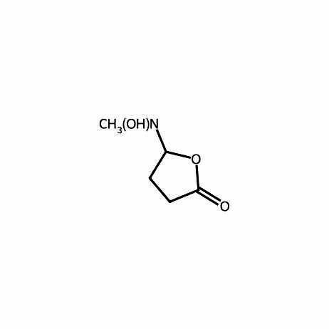 CN(O)C1CCC(=O)O1